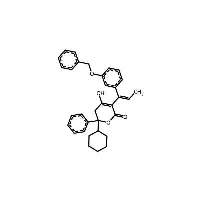 CC=C(C1=C(O)CC(c2ccccc2)(C2CCCCC2)OC1=O)c1cccc(OCc2ccccc2)c1